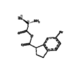 CC[C@H](C)[C@H](N)C(=O)OC(=O)C1CCc2ccc(Br)cc21